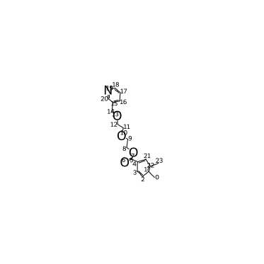 Cc1ccc(C(=O)OCCOCCOCc2cccnc2)cc1C